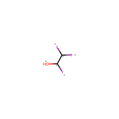 OC(I)C(I)I